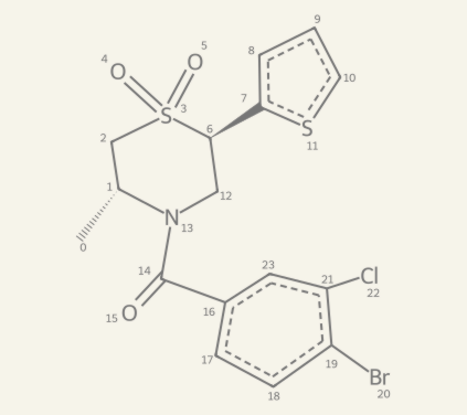 C[C@@H]1CS(=O)(=O)[C@@H](c2cccs2)CN1C(=O)c1ccc(Br)c(Cl)c1